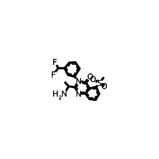 CC(N)c1nc2cccc(S(C)(=O)=O)c2c(=O)n1-c1cccc(C(F)F)c1